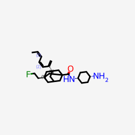 C=C(/C=C\C=C/C)[C@]12CC3CC(C(=O)N[C@H]4CC[C@@H](N)CC4)(C[C@](CCF)(C3)C1)C2